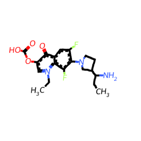 CCC(N)C1CCN(c2c(F)cc3c(=O)c(OC(=O)O)cn(CC)c3c2F)C1